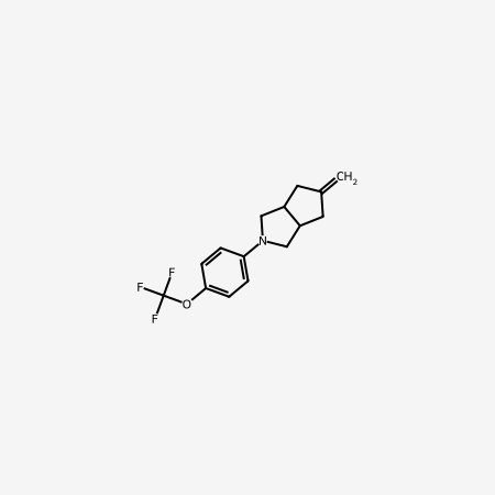 C=C1CC2CN(c3ccc(OC(F)(F)F)cc3)CC2C1